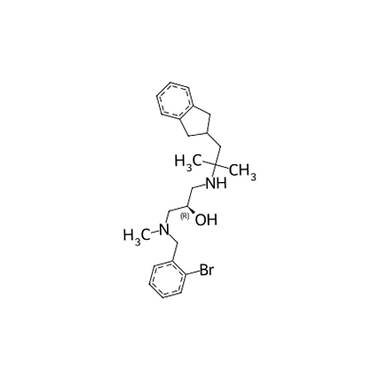 CN(Cc1ccccc1Br)C[C@H](O)CNC(C)(C)CC1Cc2ccccc2C1